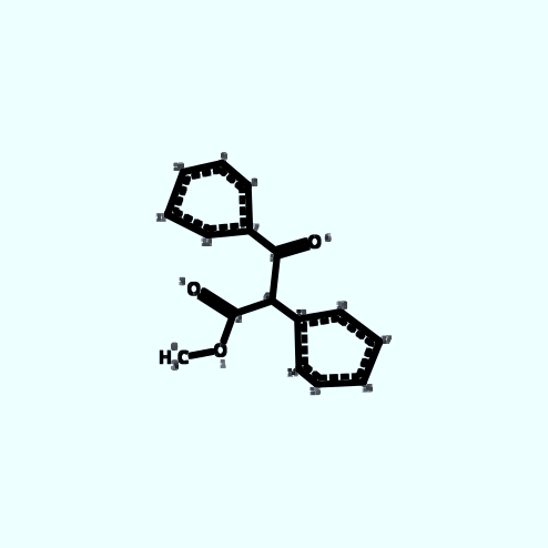 COC(=O)C(C(=O)c1ccccc1)c1ccccc1